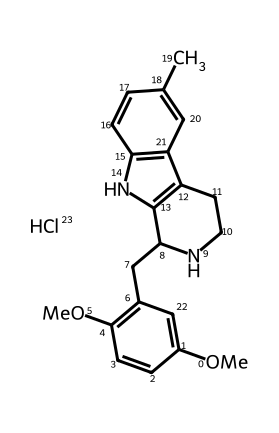 COc1ccc(OC)c(CC2NCCc3c2[nH]c2ccc(C)cc32)c1.Cl